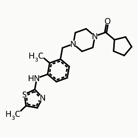 Cc1cnc(Nc2cccc(CN3CCN(C(=O)C4CCCC4)CC3)c2C)s1